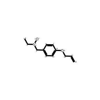 [CH2]C[S+]([O-])Cc1ccc(OCC=C)cc1